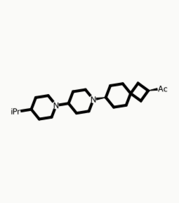 CC(=O)[C@H]1CC2(CC[C@H](N3CCC(N4CCC(C(C)C)CC4)CC3)CC2)C1